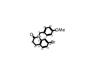 COc1ccc(CN2C(=O)CCc3ccc(Br)cc32)cc1